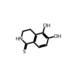 Oc1ccc2c(c1O)CCNC2=S